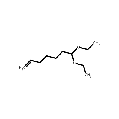 C=CCCCCC(OCC)OCC